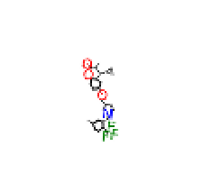 COC(=O)[C@@H](C)[C@H](c1cccc(OC[C@H]2CCN(Cc3cc(C)ccc3C(F)(F)F)C2)c1)C1CC1